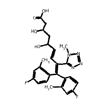 Cc1cc(F)ccc1C(=C(C=CC(O)CC(O)CC(=O)O)c1nnnn1C)c1ccc(F)cc1C